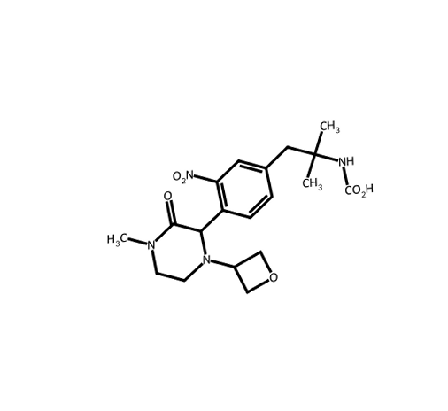 CN1CCN(C2COC2)C(c2ccc(CC(C)(C)NC(=O)O)cc2[N+](=O)[O-])C1=O